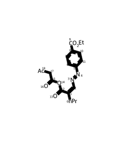 CCCC(=CN=Nc1ccc(C(=O)OCC)cc1)C(=O)OC(=O)CC(C)=O